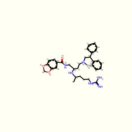 CC(CCCNC(=N)N)NC(CCN(C=O)CC(c1ccccc1)c1ccccc1)CNC(=O)c1ccc2c(c1)OCO2